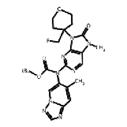 Cc1cc2ncnn2cc1N(C(=O)OC(C)(C)C)c1ncc2c(n1)n(C1(CF)CCOCC1)c(=O)n2C